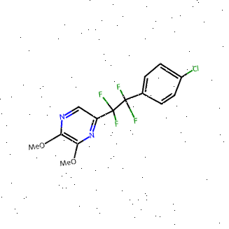 COc1ncc(C(F)(F)C(F)(F)c2ccc(Cl)cc2)nc1OC